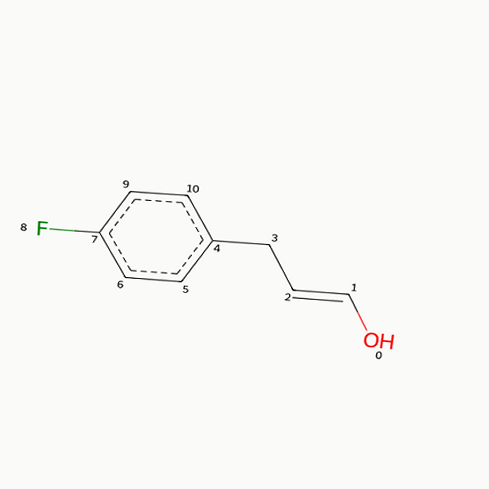 O/C=C/Cc1ccc(F)cc1